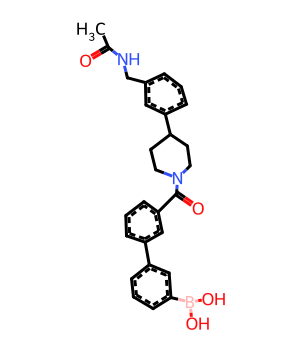 CC(=O)NCc1cccc(C2CCN(C(=O)c3cccc(-c4cccc(B(O)O)c4)c3)CC2)c1